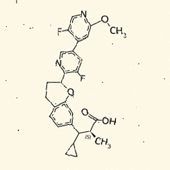 COc1cc(-c2cnc(C3CCc4ccc(C(C5CC5)[C@H](C)C(=O)O)cc4O3)c(F)c2)c(F)cn1